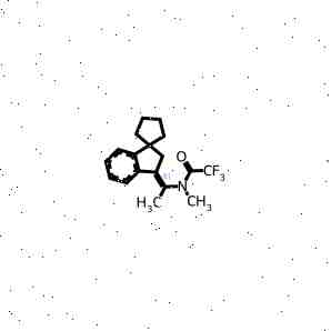 C/C(=C1/CC2(CCCC2)c2ccccc21)N(C)C(=O)C(F)(F)F